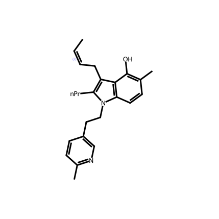 C/C=C\Cc1c(CCC)n(CCc2ccc(C)nc2)c2ccc(C)c(O)c12